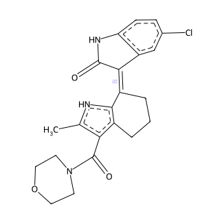 Cc1[nH]c2c(c1C(=O)N1CCOCC1)CCC/C2=C1/C(=O)Nc2ccc(Cl)cc21